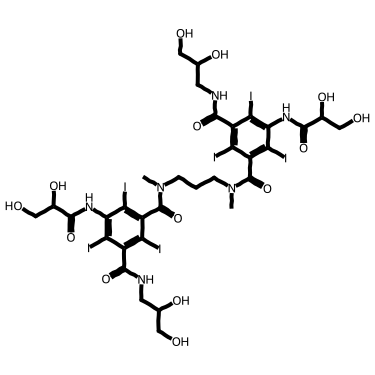 CN(CCCN(C)C(=O)c1c(I)c(NC(=O)C(O)CO)c(I)c(C(=O)NCC(O)CO)c1I)C(=O)c1c(I)c(NC(=O)C(O)CO)c(I)c(C(=O)NCC(O)CO)c1I